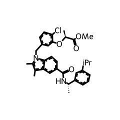 COC(=O)[C@H](C)Oc1cc(Cn2c(C)c(C)c3cc(C(=O)N[C@@H](C)c4cccc(C(C)C)c4)ccc32)ccc1Cl